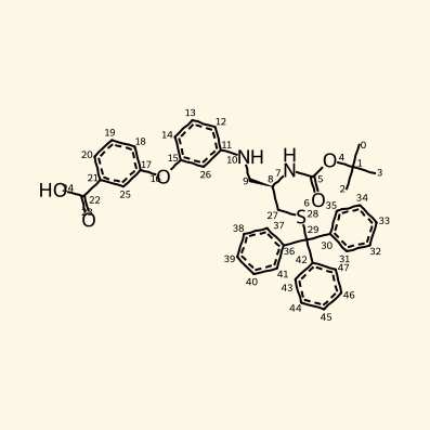 CC(C)(C)OC(=O)N[C@H](CNc1cccc(Oc2cccc(C(=O)O)c2)c1)CSC(c1ccccc1)(c1ccccc1)c1ccccc1